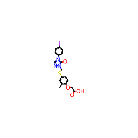 Cc1cc(SCn2ncn(-c3ccc(I)cc3)c2=O)ccc1OCC(=O)O